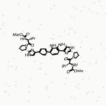 COC(=O)N[C@H](C(=O)N1CCC[C@H]1c1nc(-c2ccc(-c3ccc(-c4c[nH]c([C@@H]5CCCN5C(=O)[C@@H](NC(=O)OC)C(C)C)n4)c(N)c3N)cc2)c[nH]1)C(C)C